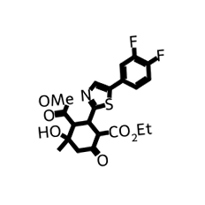 CCOC(=O)C1C(=O)CC(C)(O)C(C(=O)OC)C1c1ncc(-c2ccc(F)c(F)c2)s1